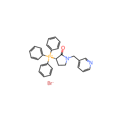 O=C1[C@H]([P+](c2ccccc2)(c2ccccc2)c2ccccc2)CCN1Cc1cccnc1.[Br-]